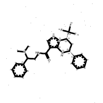 CN(C)C(CNC(=O)c1cnn2c1N[C@@H](c1ccccc1)C[C@H]2C(F)(F)F)c1ccccc1